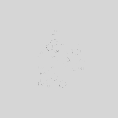 CC1OC(OC2C(NC(=O)c3cc(O)nc(O)n3)CC(C(=O)Nc3cc(SOOO)cc4cc(S(=O)(=O)O)cc(S(=O)(=O)O)c34)CC2OC2OC(CO)C(O)C(O[C@@H](CC3CCCCC3)C(=O)O)C2OC(=O)c2ccccc2)C(O)C(O)C1O